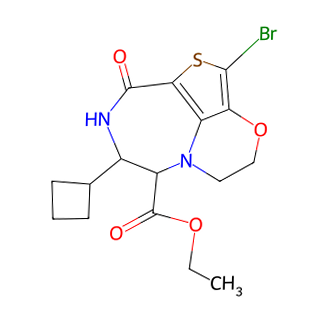 CCOC(=O)C1C(C2CCC2)NC(=O)c2sc(Br)c3c2N1CCO3